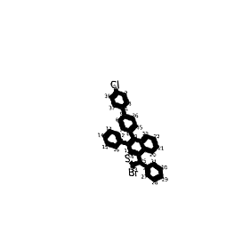 Clc1ccc(-c2ccc(-c3c(-c4ccccc4)c4c(c5ccccc35)C(c3ccccc3)C(Br)S4)cc2)cc1